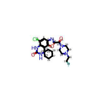 O=C1Nc2c(Cl)cc3nc(C(=O)N4CCN(CCF)CC4)oc3c2C2(CCCCC2)N1